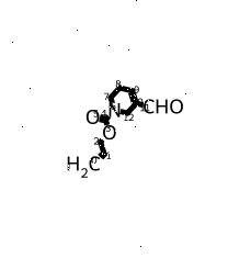 C=CCOC(=O)N1CCC=C(C=O)C1